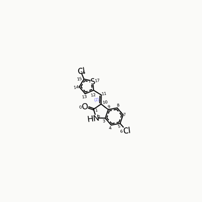 O=C1Nc2cc(Cl)ccc2/C1=C/c1ccc(Cl)s1